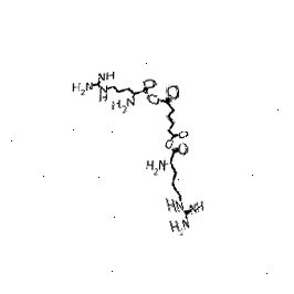 N=C(N)NCCC[C@H](N)C(=O)OC(=O)CCCCC(=O)OC(=O)[C@@H](N)CCCNC(=N)N